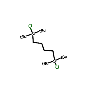 CC(C)(C)[Si](Cl)(CCCC[Si](Cl)(C(C)(C)C)C(C)(C)C)C(C)(C)C